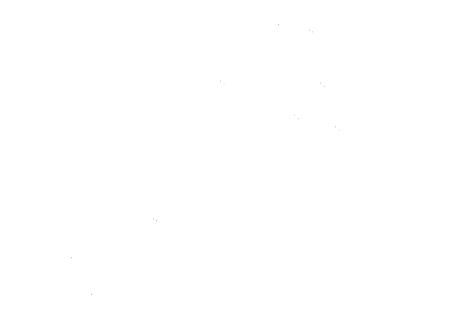 c1ccc(-c2nc(-c3ccccc3)nc(-c3cc(-n4c5ccccc5c5cc(-c6ccc7c(c6)c6ccccc6n7-c6ccc7ncncc7c6)ccc54)cc4ncncc34)n2)cc1